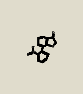 O=C1COc2c1cccc2-c1ccccc1[N+](=O)[O-]